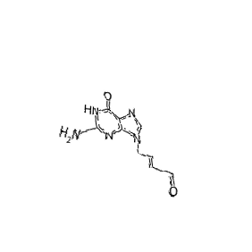 Nc1nc2c(ncn2CC=CC=O)c(=O)[nH]1